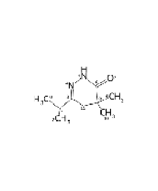 CC(C)C1=NNC(=O)C(C)(C)C1